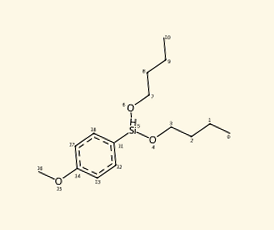 CCCCO[SiH](OCCCC)c1ccc(OC)cc1